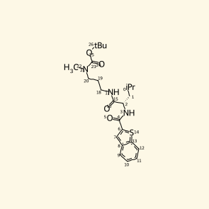 CC(C)C[C@H](NC(=O)c1cc2ccccc2s1)C(=O)NCCCN(C)C(=O)OC(C)(C)C